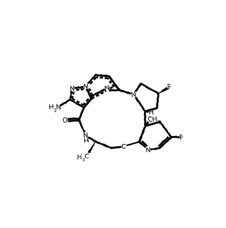 C[C@@H]1CCC2=NC=C(F)CC2(C)[C@H]2C[C@H](F)CN2c2ccn3nc(N)c(c3n2)C(=O)N1